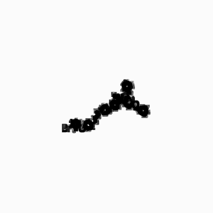 Cc1c(Br)cccc1O[C@H]1CC[C@H](CCCC(C)N2CCN(c3ccc4c(-c5ccc(OCc6ccccc6)nc5OCc5ccccc5)nn(C)c4c3)CC2)CC1